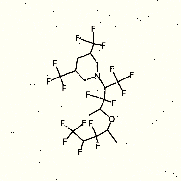 CC(OC(C)C(F)(F)C(N1CC(C(F)(F)F)CC(C(F)(F)F)C1)C(F)(F)F)C(F)(F)C(F)C(F)(F)F